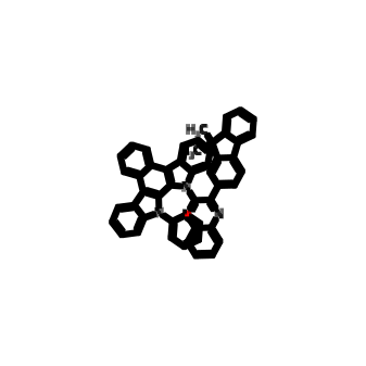 CC1(C)c2ccccc2-c2ccc(-c3nc4ccccc4nc3-n3c4ccccc4c4c5ccccc5c5c6ccccc6n(-c6ccccc6)c5c43)cc21